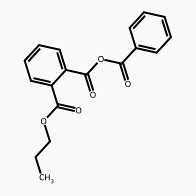 CCCOC(=O)c1ccccc1C(=O)OC(=O)c1ccccc1